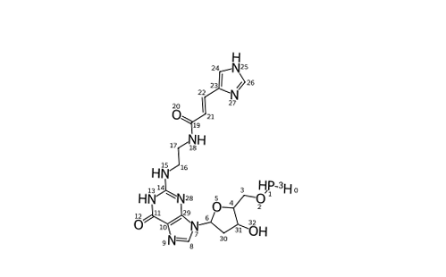 [3H]POCC1OC(n2cnc3c(=O)[nH]c(NCCNC(=O)/C=C/c4c[nH]cn4)nc32)CC1O